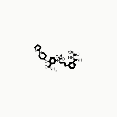 CC(C)(C)C(=O)NC(=N)c1cccc(/C=C/CN(c2ccc(OC3CCN(C4=NCCC4)CC3)c(C(N)=O)c2)S(C)(=O)=O)c1